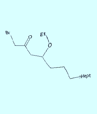 CCCCCCCCCCC(CC(=O)CBr)OCC